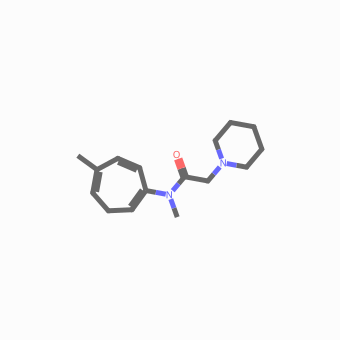 CC1=CCC=C(N(C)C(=O)CN2CCCCC2)C=C1